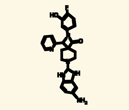 Nc1ccc2c(c1)NC(N1CCC3(CC1)C(=O)N(c1ccc(F)c(O)c1)C3c1ccccn1)N2